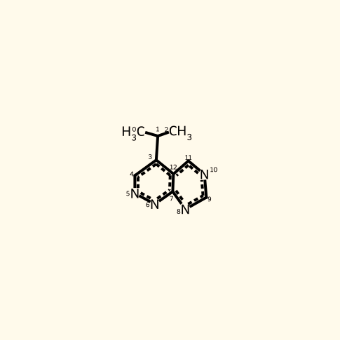 CC(C)c1cnnc2ncncc12